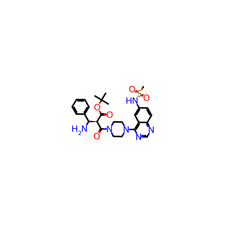 CC(C)(C)OC(=O)[C@@H](C(=O)N1CCN(c2ncnc3ccc(NS(C)(=O)=O)cc23)CC1)C(N)c1ccccc1